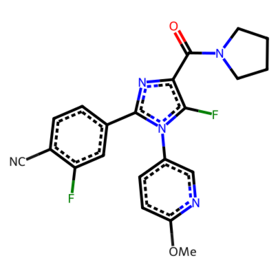 COc1ccc(-n2c(-c3ccc(C#N)c(F)c3)nc(C(=O)N3CCCC3)c2F)cn1